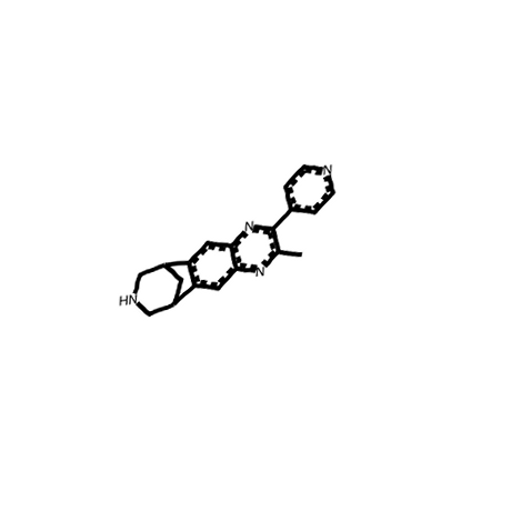 Cc1nc2cc3c(cc2nc1-c1ccncc1)C1CNCC3C1